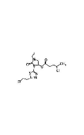 CC(Cl)CCC(=O)OC1CN(CI)C(=O)N1c1nnc(CCCl)s1